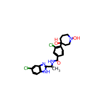 C[C@H](NC(=O)c1ccc(C2(O)CCCN(O)CC2)c(Cl)c1)c1nc2cc(Cl)ccc2[nH]1